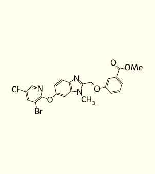 COC(=O)c1cccc(OCc2nc3ccc(Oc4ncc(Cl)cc4Br)cc3n2C)c1